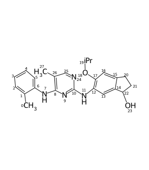 Cc1ccccc1Nc1nc(Nc2cc3c(cc2OC(C)C)CCC3O)ncc1C